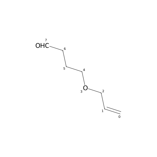 C=CCOCCCC=O